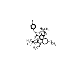 CCN(C(=O)OC(C)(C)C)C1CCC(OC)Cn2c1nc(C(=O)NCc1ccc(F)cc1)c(OS(C)(=O)=O)c2=O